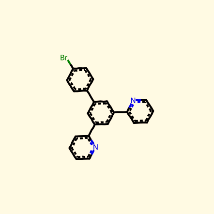 Brc1ccc(-c2cc(-c3ccccn3)cc(-c3ccccn3)c2)cc1